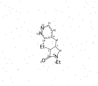 CCC1C(=O)N(CC)CC1Cc1ccnnc1